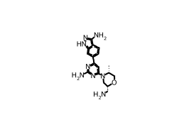 C[C@@H]1CO[C@H](CN)CN1c1cc(-c2ccc3c(N)n[nH]c3c2)nc(N)n1